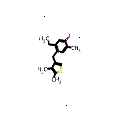 CCc1cc(I)c(C)cc1Cc1csc(C)c1C